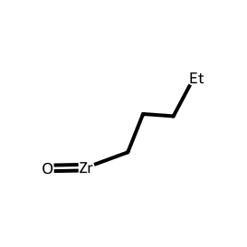 CCCC[CH2][Zr]=[O]